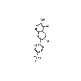 O=c1c2cc(F)c(-c3ncc(C(F)(F)F)cn3)cc2ccn1O